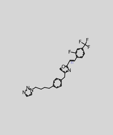 Fc1cc(C(F)(F)F)ccc1/C=C/c1nc(Cc2ccc(CCCCn3ccnn3)cc2)co1